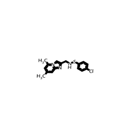 Cc1cc(C)n2cc(CNSc3ccc(Cl)cc3)nc2c1